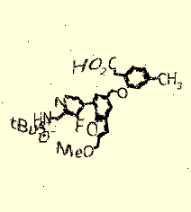 COCc1cc2cc(COc3cc(C)ccc3CC(=O)O)cc(-c3ccnc(CN[S+]([O-])C(C)(C)C)c3F)c2o1